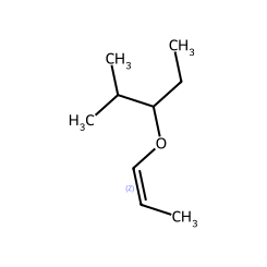 C/C=C\OC(CC)C(C)C